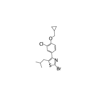 CC(C)Cc1sc(Br)nc1-c1ccc(OCC2CC2)c(Cl)c1